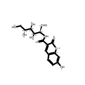 O=C[C@@H](NC(=O)c1cc2ccc(O)cc2oc1=O)[C@@H](O)[C@H](O)[C@H](O)CO